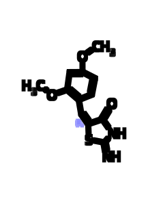 COc1ccc(/C=C2/SC(=N)NC2=O)c(OC)c1